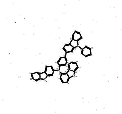 c1ccc(-n2c3ccccc3c3ccc(-c4ccc(N(c5ccc6c(c5)oc5ccccc56)c5cccc6sc7ccccc7c56)cc4)cc32)cc1